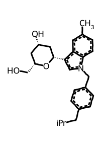 Cc1ccc2c(c1)c([C@H]1C[C@@H](O)C[C@@H](CO)O1)cn2Cc1ccc(CC(C)C)cc1